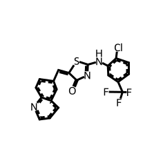 O=C1N=C(Nc2cc(C(F)(F)F)ccc2Cl)SC1=Cc1ccc2ncccc2c1